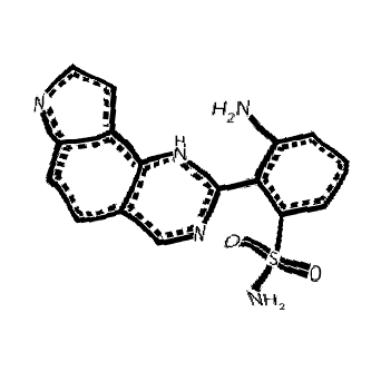 Nc1cccc(S(N)(=O)=O)c1-c1ncc2ccc3nccc3c2[nH]1